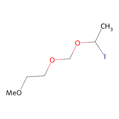 COCCOCOC(C)I